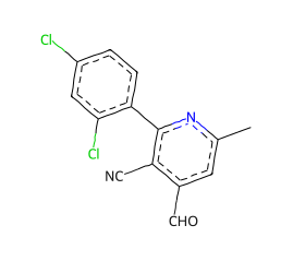 Cc1cc(C=O)c(C#N)c(-c2ccc(Cl)cc2Cl)n1